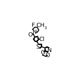 C[C@@H]1CCN(C(=O)c2ccc(-c3cc(-c4ccnc5c4OCCO5)cs3)c(Cl)c2)C[C@H]1F